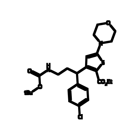 CCOC(=O)c1sc(N2CCOCC2)cc1C(CCNC(=O)OC(C)(C)C)c1ccc(Cl)cc1